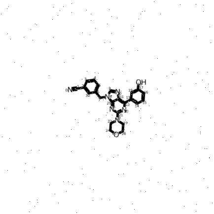 N#Cc1cccc(Cn2cnc3c(-c4cccc(O)c4)nc(N4CCOCC4)nc32)c1